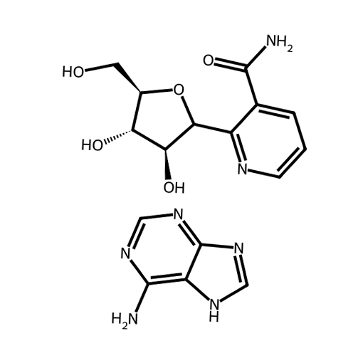 NC(=O)c1cccnc1C1O[C@H](CO)[C@@H](O)[C@@H]1O.Nc1ncnc2nc[nH]c12